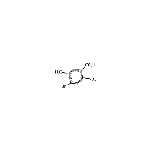 Cc1cc(C(=O)O)c([N+](=O)[O-])cc1Br